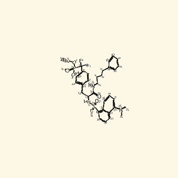 CCC(C)OP(=O)(O)C(F)(F)c1ccc(CC(NS(=O)(=O)c2cccc3c(N(C)C)cccc23)C(=O)NCCCCc2ccccc2)cc1